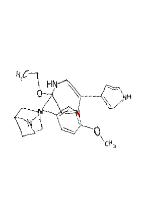 CCOC1(N2CC3CC(C2)N3Cc2ccc(OC)nc2)C=CC(c2cc[nH]c2)=CN1